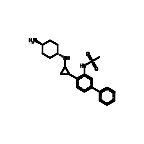 CS(=O)(=O)Nc1cc(-c2ccccc2)ccc1C1CC1N[C@H]1CC[C@H](N)CC1